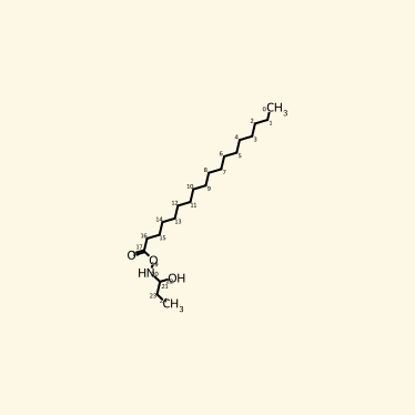 CCCCCCCCCCCCCCCCCC(=O)ONC(O)CC